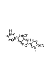 Cc1nc(C(=O)Nc2ccc(C3CNCCO3)cc2F)ccc1C#N.Cl